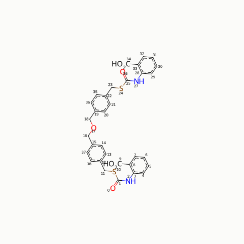 O=C(Nc1ccccc1C(=O)O)SCc1ccc(COCc2ccc(CSC(=O)Nc3ccccc3C(=O)O)cc2)cc1